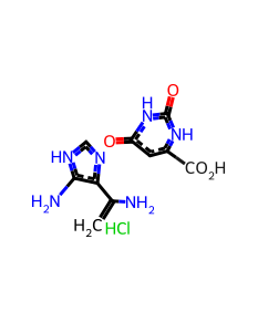 C=C(N)c1nc[nH]c1N.Cl.O=C(O)c1cc(=O)[nH]c(=O)[nH]1